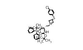 CC(C)(C)OC(=O)N[C@@H](CCN1CC(Sc2ccc(Cl)cc2)C1)CO[Si](c1ccccc1)(c1ccccc1)C(C)(C)C